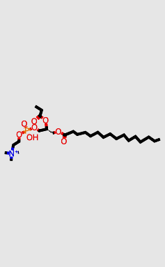 CCCCCCCCCCCCCCCC(=O)OC[C@H](COP(=O)(O)OCC[N+](C)(C)C)OC(=O)CC